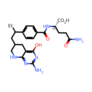 CCC(CC1CNc2nc(N)nc(O)c2C1)c1ccc(C(=O)N[C@@H](CCC(N)=O)C(=O)O)cc1